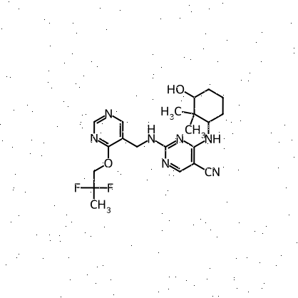 CC(F)(F)COc1ncncc1CNc1ncc(C#N)c(NC2CCCC(O)C2(C)C)n1